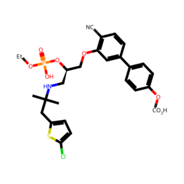 CCOP(=O)(O)O[C@H](CNC(C)(C)Cc1ccc(Cl)s1)COc1cc(-c2ccc(OC(=O)O)cc2)ccc1C#N